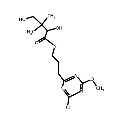 COc1nc(Cl)nc(CCCNC(=O)C(O)C(C)(C)CO)n1